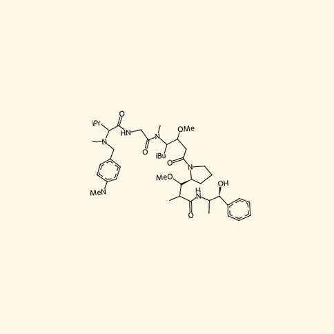 CCC(C)C(C(CC(=O)N1CCC[C@H]1C(OC)C(C)C(=O)NC(C)[C@@H](O)c1ccccc1)OC)N(C)C(=O)CNC(=O)C(C(C)C)N(C)Cc1ccc(NC)cc1